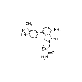 Cc1n[nH]c2ccc(-c3ccc(N)c4c3CN(CC3(C(N)=O)CO3)C4=O)cc12